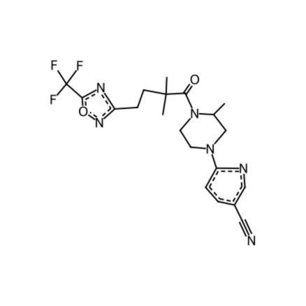 CC1CN(c2ccc(C#N)cn2)CCN1C(=O)C(C)(C)CCc1noc(C(F)(F)F)n1